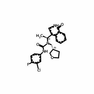 C[C@@H](c1c[nH]c(=O)c2ccccc12)N(C[C@@H]1CCOC1)C(=O)Nc1ccc(F)c(Cl)c1